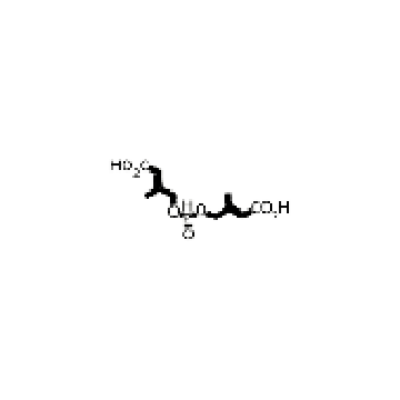 C/C(=C\C(=O)O)CO[PH](=O)OC/C(C)=C/C(=O)O